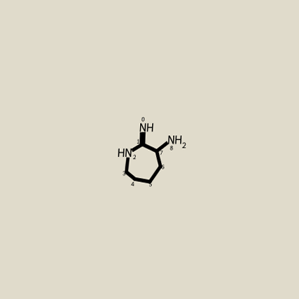 N=C1NCCCCC1N